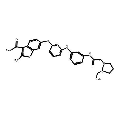 CNC(=O)c1c(C)oc2cc(Oc3ccnc(Nc4cccc(NC(=O)CN5CCC[C@H]5COC)c4)n3)ccc12